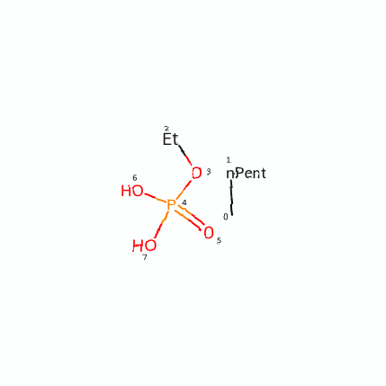 CCCCCC.CCOP(=O)(O)O